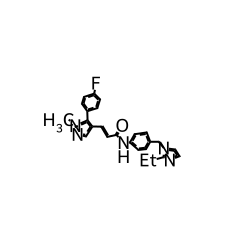 CCc1nccn1Cc1ccc(NC(=O)C=Cc2cnn(C)c2-c2ccc(F)cc2)cc1